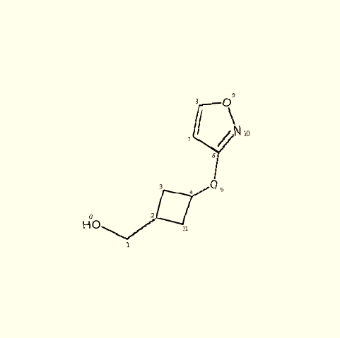 OCC1CC(Oc2ccon2)C1